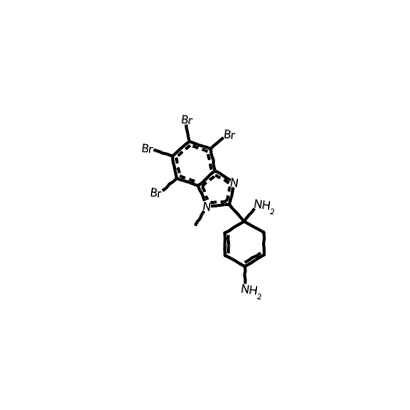 Cn1c(C2(N)C=CC(N)=CC2)nc2c(Br)c(Br)c(Br)c(Br)c21